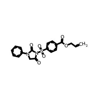 C=CCOC(=O)c1ccc(S(=O)(=O)N2C(=O)CN(c3ccccc3)C2=O)cc1